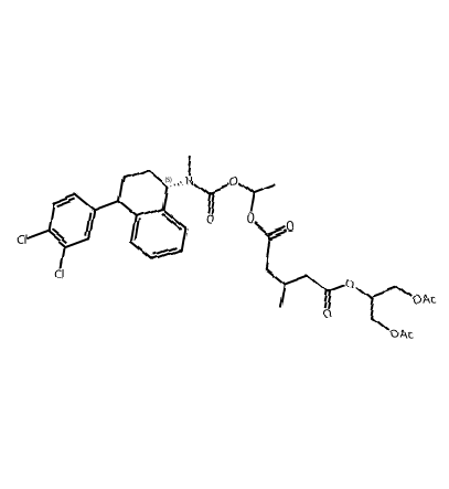 CC(=O)OCC(COC(C)=O)OC(=O)CC(C)CC(=O)OC(C)OC(=O)N(C)[C@H]1CCC(c2ccc(Cl)c(Cl)c2)c2ccccc21